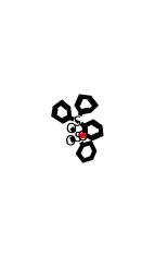 O=S(=O)(OS(c1ccccc1)(c1ccccc1)c1ccccc1)C1CCCCC1